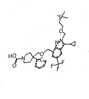 C[Si](C)(C)CCOCn1nc2c(COCC3(c4ccccc4)CCN(C(=O)O)CC3)cc(C(F)(F)F)cc2c1C1CC1